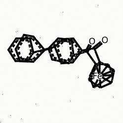 O=C(c1ccc(-c2ccccc2)cc1)[C]12[CH]3[CH]4[CH]5[CH]1[Fe]45321678[CH]2[CH]1[CH]6[C]7(C(=O)c1ccc(-c3ccccc3)cc1)[CH]28